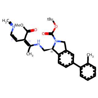 C=N/C=C\C(C(=O)OC)=C(/C)NC[C@@H]1c2ccc(-c3ccccc3C)cc2CN1C(=O)OC(C)(C)C